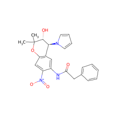 CC1(C)Oc2cc([N+](=O)[O-])c(NC(=O)Cc3ccccc3)cc2[C@H](n2cccc2)[C@H]1O